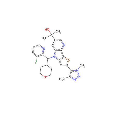 Cc1nnn(C)c1-c1cc2c(s1)c1ncc(C(C)(C)O)cc1n2C(c1ncccc1F)C1CCOCC1